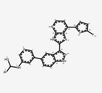 CC(C)C(O)Nc1cncc(-c2ccc3[nH]nc(-c4nc5c(-c6ccc(F)s6)ccnc5[nH]4)c3c2)c1